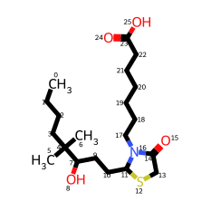 CCCCC(C)(C)C(O)CCC1SCC(=O)N1CCCCCCC(=O)O